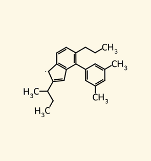 CCCc1ccc2c(c1-c1cc(C)cc(C)c1)C=C(C(C)CC)[CH]2